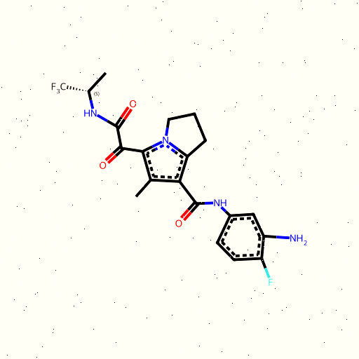 Cc1c(C(=O)Nc2ccc(F)c(N)c2)c2n(c1C(=O)C(=O)N[C@@H](C)C(F)(F)F)CCC2